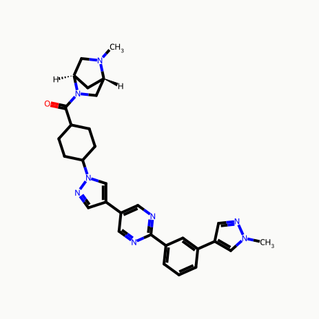 CN1C[C@H]2C[C@H]1CN2C(=O)C1CCC(n2cc(-c3cnc(-c4cccc(-c5cnn(C)c5)c4)nc3)cn2)CC1